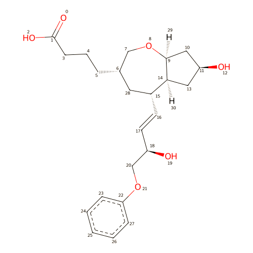 O=C(O)CCC[C@@H]1CO[C@H]2C[C@@H](O)C[C@H]2[C@H](/C=C/[C@@H](O)COc2ccccc2)C1